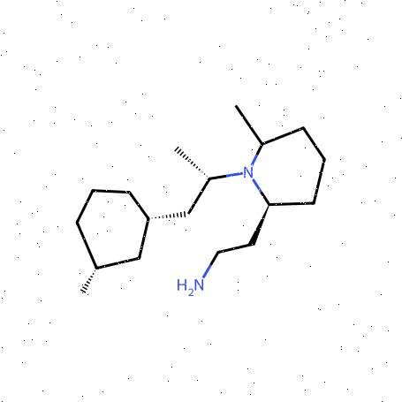 CC1CCC[C@@H](CCN)N1[C@@H](C)C[C@H]1CCC[C@@H](C)C1